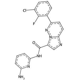 Nc1cccc(NC(=O)c2cnc3ccc(-c4cccc(Cl)c4F)nn23)n1